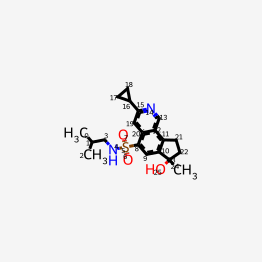 CC(C)CNS(=O)(=O)c1cc2c(c3cnc(C4CC4)cc13)CCC2(C)O